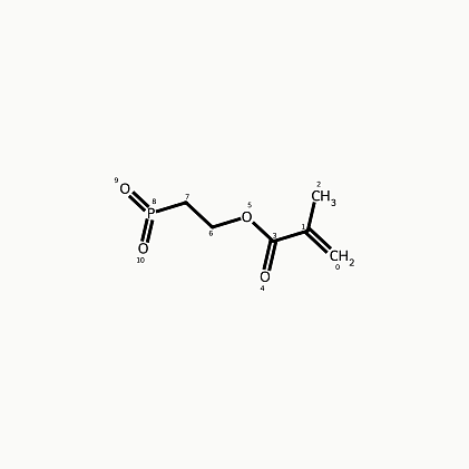 C=C(C)C(=O)OCCP(=O)=O